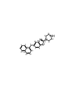 c1ccc2c(Cc3ccc4oc(N5CCNCC5)nc4c3)cccc2c1